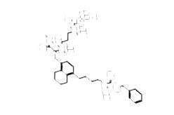 CC(C)(C)OC(=O)NCCCN[C@@H](Cc1ccc(CCCCNC(=O)OCc2ccccc2)c2c1CCCC2)C(N)=O